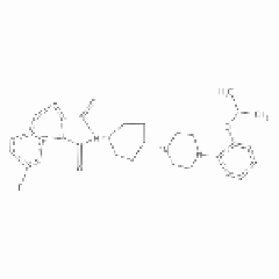 CC(C)Oc1ccccc1N1CCN([C@H]2CC[C@@H](N3C(=O)c4ccc5ccc(F)cc5c4C3=O)CC2)CC1